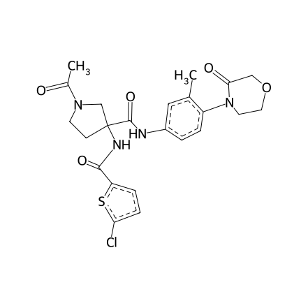 CC(=O)N1CCC(NC(=O)c2ccc(Cl)s2)(C(=O)Nc2ccc(N3CCOCC3=O)c(C)c2)C1